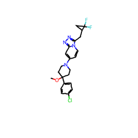 COC1(c2ccc(Cl)cc2)CCN(c2ccn3c(CC4CC4(F)F)nnc3c2)CC1